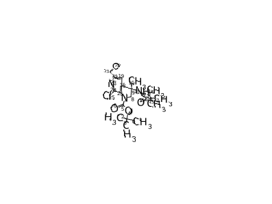 CC(C)(C)OC(=O)N1C[C@@](C)(N[S+]([O-])C(C)(C)C)c2cc(C=O)nc(Cl)c21